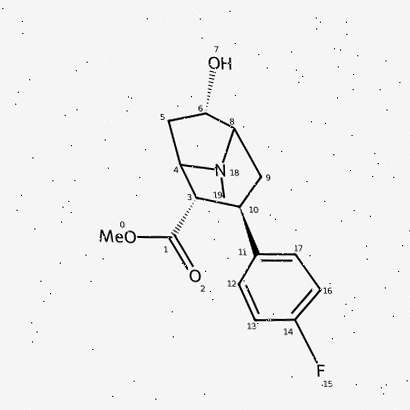 COC(=O)[C@@H]1C2C[C@H](O)C(C[C@H]1c1ccc(F)cc1)N2C